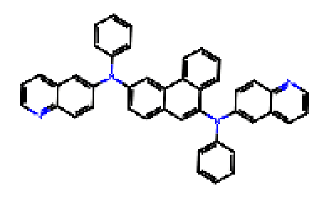 c1ccc(N(c2ccc3ncccc3c2)c2ccc3cc(N(c4ccccc4)c4ccc5ncccc5c4)c4ccccc4c3c2)cc1